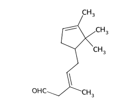 CC1=CCC(C/C=C(\C)CC=O)C1(C)C